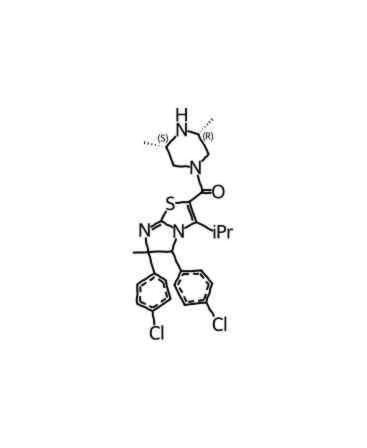 CC(C)C1=C(C(=O)N2C[C@@H](C)N[C@@H](C)C2)SC2=NC(C)(c3ccc(Cl)cc3)C(c3ccc(Cl)cc3)N21